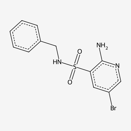 Nc1ncc(Br)cc1S(=O)(=O)NCc1ccccc1